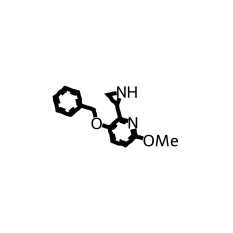 COc1ccc(OCc2ccccc2)c(C2CN2)n1